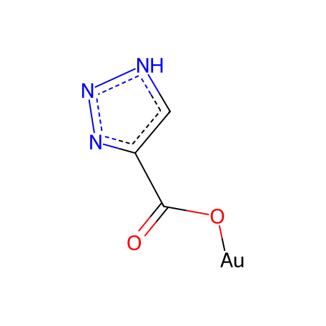 O=C([O][Au])c1c[nH]nn1